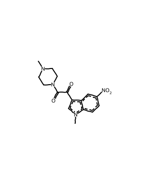 CN1CCN(C(=O)C(=O)c2cn(C)c3ccc([N+](=O)[O-])cc23)CC1